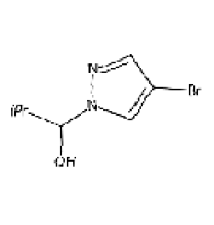 CC(C)C(O)n1cc(Br)cn1